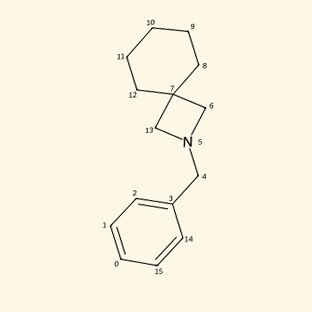 c1ccc(CN2CC3(CCCCC3)C2)cc1